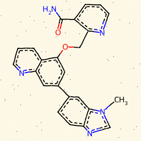 Cn1cnc2ccc(-c3cc(OCc4ncccc4C(N)=O)c4cccnc4c3)cc21